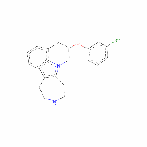 Clc1cccc(OC2Cc3cccc4c5c(n(c34)C2)CCNCC5)c1